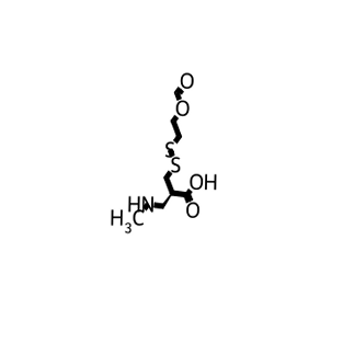 CNC[C@@H](CSSCCOC=O)C(=O)O